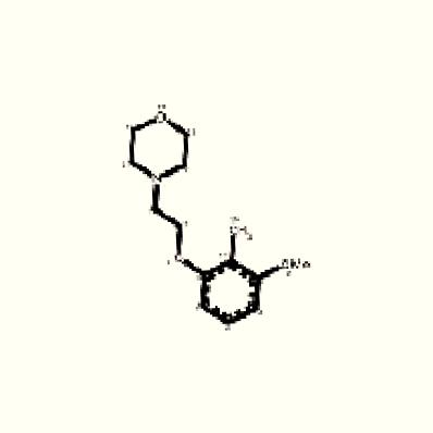 COc1cccc(OCCN2CCOCC2)c1C